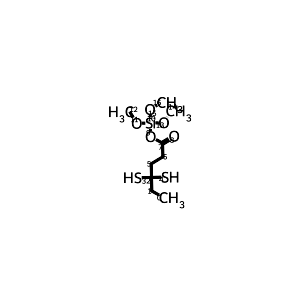 CCC(S)(S)CCC(=O)O[Si](OC)(OC)OC